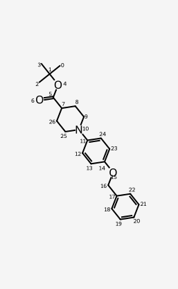 CC(C)(C)OC(=O)C1CCN(c2ccc(OCc3ccccc3)cc2)CC1